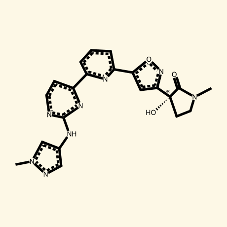 CN1CC[C@@](O)(c2cc(-c3cccc(-c4ccnc(Nc5cnn(C)c5)n4)n3)on2)C1=O